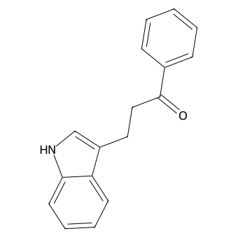 O=C(CCc1c[nH]c2ccccc12)c1ccccc1